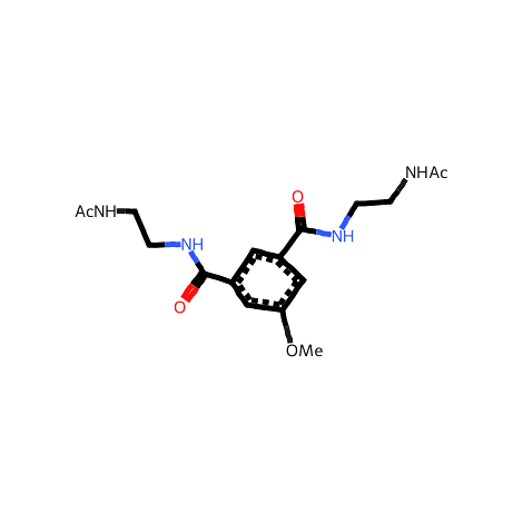 COc1cc(C(=O)NCCNC(C)=O)cc(C(=O)NCCNC(C)=O)c1